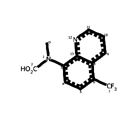 CN(C(=O)O)c1ccc(C(F)(F)F)c2cccnc12